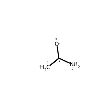 [CH2]C(N)[O]